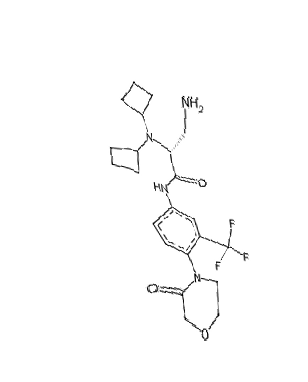 NC[C@H](C(=O)Nc1ccc(N2CCOCC2=O)c(C(F)(F)F)c1)N(C1CCC1)C1CCC1